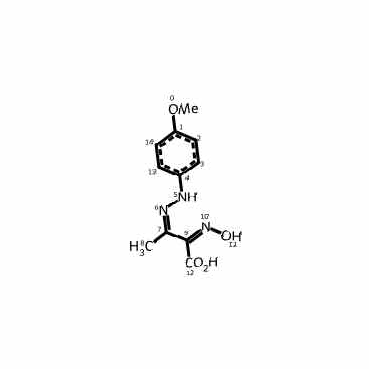 COc1ccc(NN=C(C)C(=NO)C(=O)O)cc1